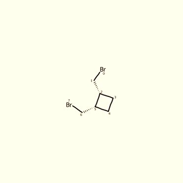 BrC[C@@H]1CC[C@@H]1CBr